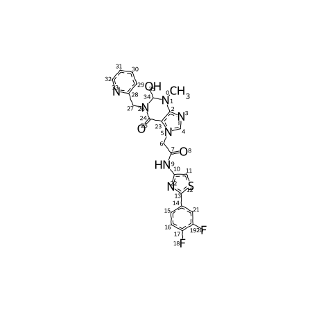 CN1c2ncn(CC(=O)Nc3csc(-c4ccc(F)c(F)c4)n3)c2C(=O)N(Cc2ccccn2)C1O